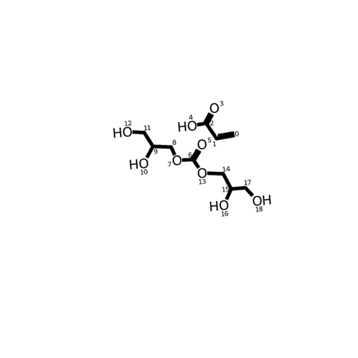 C=CC(=O)O.O=C(OCC(O)CO)OCC(O)CO